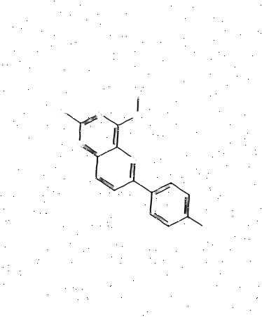 CCOc1nc(N)nc2ccc(-c3ccc(Cl)cc3)nc12